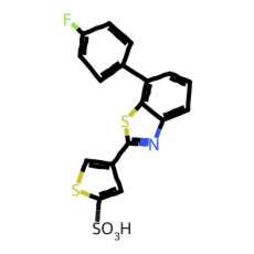 O=S(=O)(O)c1cc(-c2nc3cccc(-c4ccc(F)cc4)c3s2)cs1